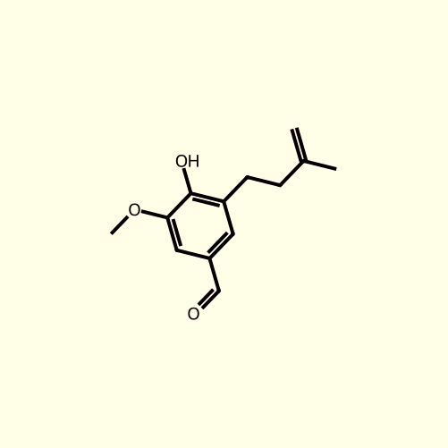 C=C(C)CCc1cc(C=O)cc(OC)c1O